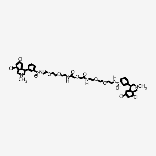 CN1Cc2c(Cl)cc(Cl)cc2C(c2cccc([S+]([O-])NCCOCCOCCNC(=O)COCC(=O)NCCOCCOCCN[S+]([O-])c3cccc(C4CN(C)Cc5c(Cl)cc(Cl)cc54)c3)c2)C1